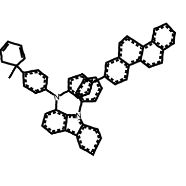 CC1(c2ccc(N(c3ccc(-c4ccc5c(ccc6c7ccccc7ccc56)c4)cc3)c3cccc4c5ccccc5n(-c5ccccc5)c34)cc2)C=CC=CC1